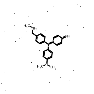 CNCc1ccc(C(=C2C=CC(=N)C=C2)c2ccc(N(C)C)cc2)cc1